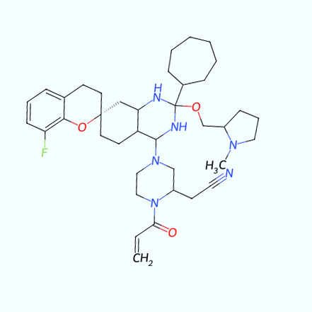 C=CC(=O)N1CCN(C2NC(OCC3CCCN3C)(C3CCCCCC3)NC3C[C@]4(CCc5cccc(F)c5O4)CCC32)CC1CC#N